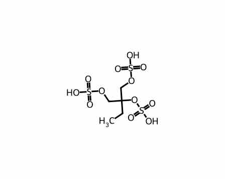 CCC(COS(=O)(=O)O)(COS(=O)(=O)O)OS(=O)(=O)O